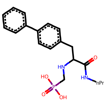 CCCNC(=O)C(Cc1ccc(-c2ccccc2)cc1)NCP(=O)(O)O